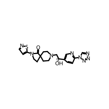 O=C1N(c2ccns2)CCC12CCN(C[C@@H](O)c1ccc(-n3cnnn3)nc1)CC2